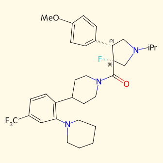 COc1ccc([C@@H]2CN(C(C)C)C[C@@]2(F)C(=O)N2CCC(c3ccc(C(F)(F)F)cc3N3CCCCC3)CC2)cc1